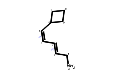 NC/C=C/C=C\C1CCC1